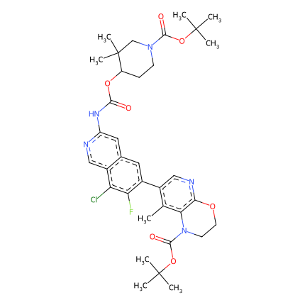 Cc1c(-c2cc3cc(NC(=O)OC4CCN(C(=O)OC(C)(C)C)CC4(C)C)ncc3c(Cl)c2F)cnc2c1N(C(=O)OC(C)(C)C)CCO2